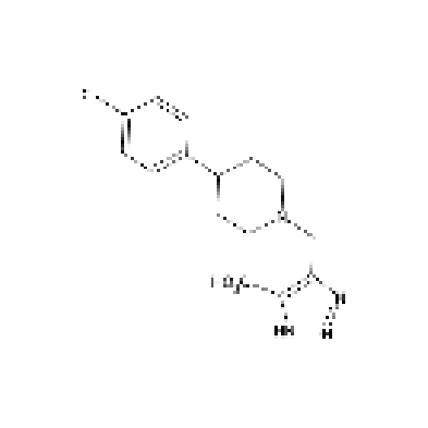 O=C(O)c1[nH]nnc1CN1CCC(c2ccc(Cl)cc2)CC1